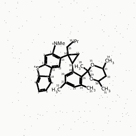 CNc1cc2sc3ccccc3c2cc1C1(CC(C)C)C[C@H]1c1cc(C)cc(C)c1C1(C)OC(C)CC(C)O1